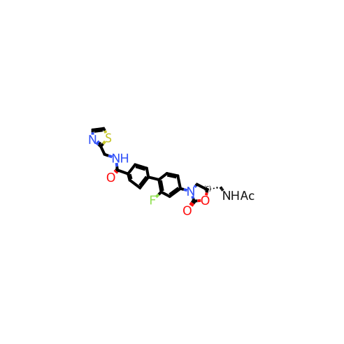 CC(=O)NC[C@H]1CN(c2ccc(-c3ccc(C(=O)NCc4nccs4)cc3)c(F)c2)C(=O)O1